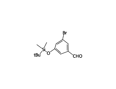 CC(C)(C)[Si](C)(C)Oc1cc(Br)cc(C=O)c1